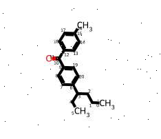 CCCC(CC)c1ccc(C(=O)c2ccc(C)cc2)cc1